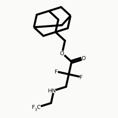 O=C(OCC12CC3CC(CC(C3)C1)C2)C(F)(F)CNCC(F)(F)F